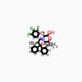 CC1CN([C@@H](c2cc(F)c(F)c(F)c2)[C@H](C(C)(C)C)C(O[SiH3])(c2ccccc2)c2ccccc2)C(=O)C(O)O1